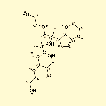 CCC1CBC(C(C)(C)BC(C)(C(C)OCCO)C2SC=C3OCCOC32)[C@@H](C)C1OCCO